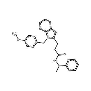 CC(NC(=O)CCc1nc2cccnc2n1Cc1ccc(OC(F)(F)F)cc1)c1ccccn1